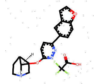 O=C(O)C(F)(F)F.c1cc2cc(-c3ccc(O[C@H]4CN5CCC4CC5)nn3)ccc2o1